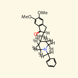 [2H]C([2H])(c1ccccc1)N1C([2H])([2H])C([2H])([2H])C([2H])(C([2H])([2H])C2([2H])Cc3cc(OC)c(OC)cc3C2=O)C([2H])([2H])C1([2H])[2H]